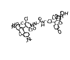 C/N=c1/ccc2c(-c3c(Cl)c(C(=O)NCC(=O)NCc4ccc(-c5c6ccc(=O)cc-6oc6cc(O)ccc56)c(C(=O)O)c4)cc(Cl)c3C(=O)O)c3ccc(N(C)C)cc3oc-2c1